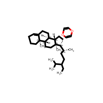 C1=COC=CO1.CCC(CC[C@@H](C)[C@H]1CC[C@H]2[C@@H]3CCC4=CCCC[C@]4(C)[C@H]3CC[C@]12C)C(C)C